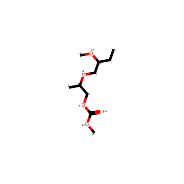 CCC(COC(C)COC(=O)OC)OC